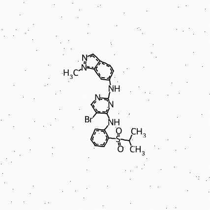 CC(C)S(=O)(=O)c1ccccc1Nc1nc(Nc2ccc3cnn(C)c3c2)ncc1Br